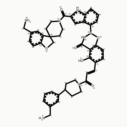 NCc1cccc(C2CCN(C(=O)C=Cc3ccc4c(c3O)C(=O)NB(c3cccc5[nH]c(C(=O)N6CCC7(CC6)COc6ccc(CN)cc67)cc35)O4)CC2)c1